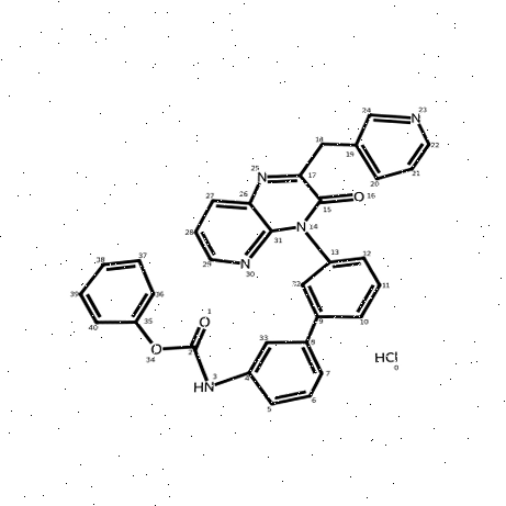 Cl.O=C(Nc1cccc(-c2cccc(-n3c(=O)c(Cc4cccnc4)nc4cccnc43)c2)c1)Oc1ccccc1